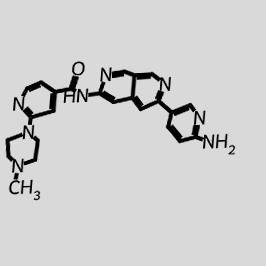 CN1CCN(c2cc(C(=O)Nc3cc4cc(-c5ccc(N)nc5)ncc4cn3)ccn2)CC1